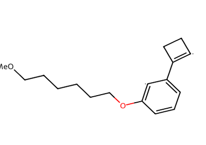 COCCCCCCOc1[c]c(C2=[C]CC2)ccc1